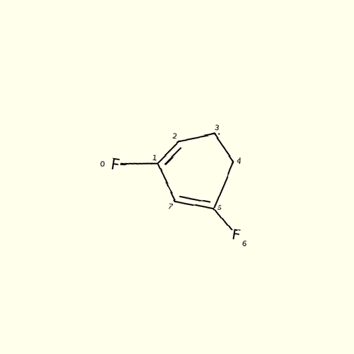 FC1=C[CH]CC(F)=C1